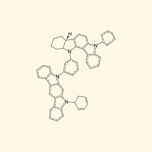 C1=CCC(n2c3ccccc3c3cc4c5ccccc5n(-c5cccc(N6c7c(ccc8c7c7ccccc7n8-c7ccccc7)[C@H]7CCCCC76)c5)c4cc32)C=C1